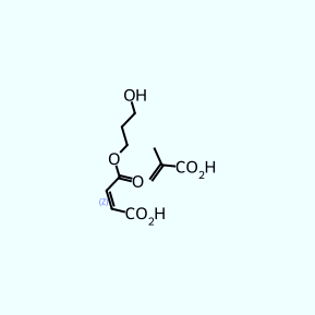 C=C(C)C(=O)O.O=C(O)/C=C\C(=O)OCCCO